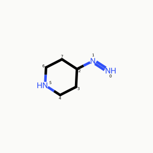 N=NC1CCNCC1